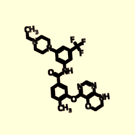 CCN1CCN(c2cc(NC(=O)c3ccc(C)c(Oc4ncnc5c4OCCN5)c3)cc(C(F)(F)F)c2)CC1